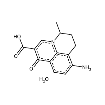 CC1CCc2c(N)ccc3c(=O)c(C(=O)O)cn1c23.O